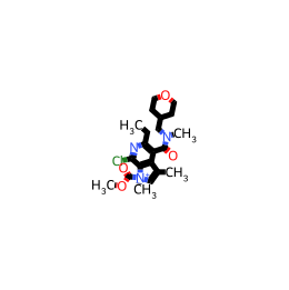 CCc1nc(Cl)c2c(c1C(=O)N(C)CC1CCOCC1)C(C)=C[N+]2(C)C(=O)OC